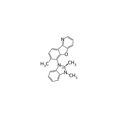 Cc1ccc2c(oc3cccnc32)c1N1c2ccccc2N(C)[C@@H]1C